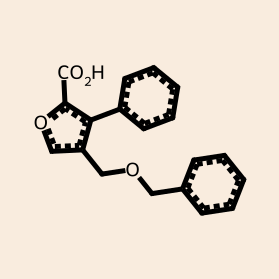 O=C(O)c1occ(COCc2ccccc2)c1-c1ccccc1